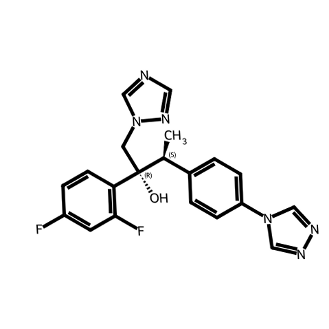 C[C@@H](c1ccc(-n2cnnc2)cc1)[C@](O)(Cn1cncn1)c1ccc(F)cc1F